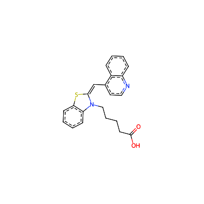 O=C(O)CCCCN1C(=Cc2ccnc3ccccc23)Sc2ccccc21